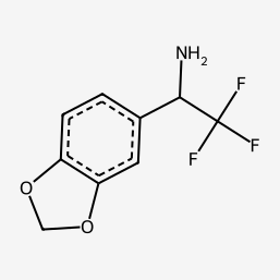 NC(c1ccc2c(c1)OCO2)C(F)(F)F